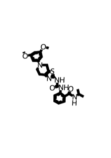 COc1cc(OC)cc(N2CCc3nc(NC(=O)Nc4ccccc4C(=O)NC(C)C)sc3C2)c1